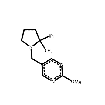 COc1ncc(CN2CCCC2(C)C(C)C)cn1